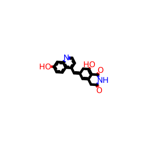 O=C1CC2=CC(=Cc3ccnc4cc(O)ccc34)CC(O)=C2C(=O)N1